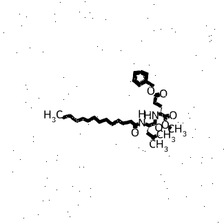 CCCCCCCCCCCCCC(=O)N[C@@H](CC(C)C)C(=O)N[C@H](CCC(=O)OCc1ccccc1)C(=O)OC